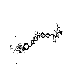 N=S(=O)(c1ccc(CC2CC3(C2)CN(C(=O)N2CC4(CC(c5nc(C6(O)CC6)n[nH]5)C4)C2)C3)cc1)C(F)(F)F